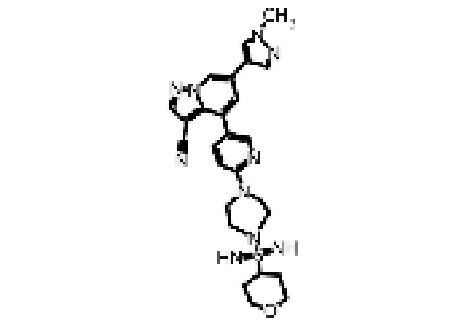 Cn1cc(-c2cc(-c3ccc(N4CCN(S(=N)(=N)C5CCOCC5)CC4)nc3)c3c(C#N)cnn3c2)cn1